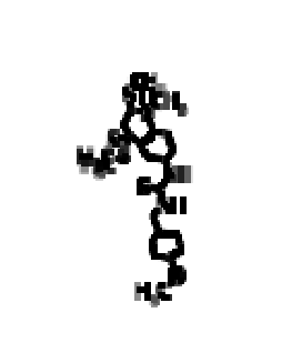 COc1ccc(CNC(=S)Nc2ccc3c(c2)C(SC)(SC)CC(SC)[SH]3C)cc1